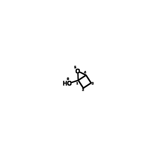 OC12CCC1O2